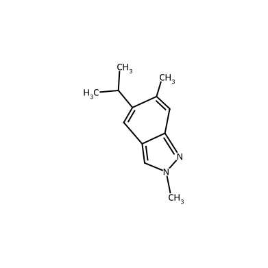 Cc1cc2nn(C)cc2cc1C(C)C